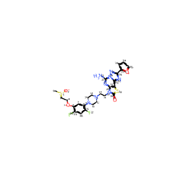 C[S+]([O-])CCOc1cc(N2CCN(CCn3c(=O)sc4c3nc(N)n3nc(-c5ccco5)nc43)CC2)c(F)cc1F